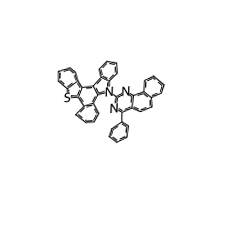 c1ccc(-c2nc(-n3c4ccccc4c4c5c6ccccc6sc5c5ccccc5c43)nc3c2ccc2ccccc23)cc1